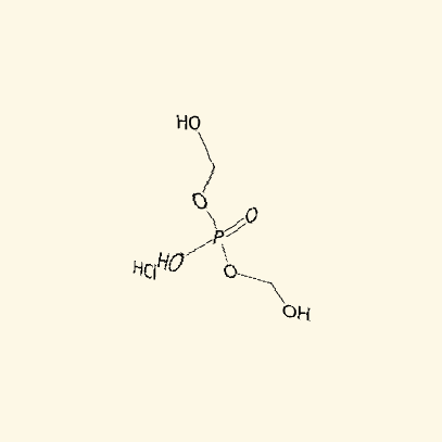 Cl.O=P(O)(OCO)OCO